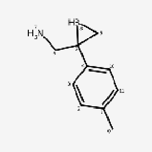 Cc1ccc(C2(CN)BC2)cc1